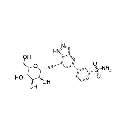 NS(=O)(=O)c1cccc(-c2cc(C#C[C@H]3O[C@H](CO)[C@@H](O)[C@H](O)[C@@H]3O)c3[nH]ncc3c2)c1